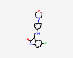 O=C1Nc2ccc(Cl)cc2/C1=C\Nc1ccc(N2CCOCC2)cc1